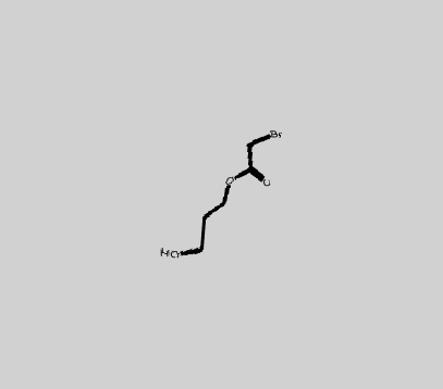 O=C(CBr)OCCCO